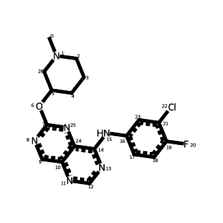 CN1CCCC(Oc2ncc3ncnc(Nc4ccc(F)c(Cl)c4)c3n2)C1